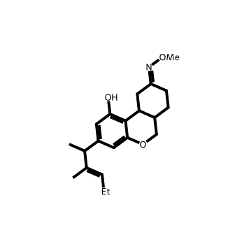 CCC=C(C)C(C)c1cc(O)c2c(c1)OCC1CCC(=NOC)CC21